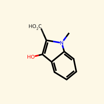 Cn1c(C(=O)O)c(O)c2ccccc21